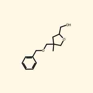 CC1(COCc2ccccc2)COC(CO)C1